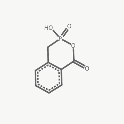 O=C1OP(=O)(O)Cc2ccccc21